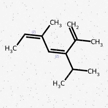 C=C(C)/C(=C\C(C)=C/C)C(C)C